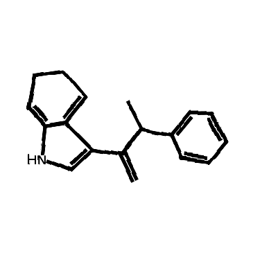 C=C(c1c[nH]c2c1=CCCC=2)C(C)c1ccccc1